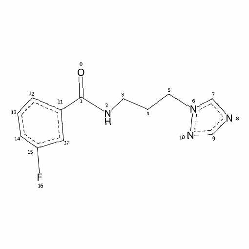 O=C(NCCCn1cncn1)c1cccc(F)c1